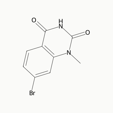 Cn1c(=O)[nH]c(=O)c2ccc(Br)cc21